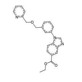 CCOC(=O)c1ccc2c(c1)ncn2-c1cccc(COCc2ccccn2)c1